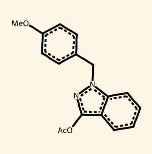 COc1ccc(Cn2nc(OC(C)=O)c3ccccc32)cc1